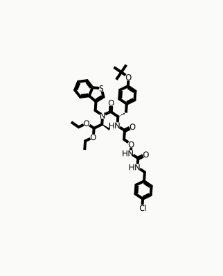 CCOC(OCC)[C@H](C)N(Cc1csc2ccccc12)C(=O)[C@H](Cc1ccc(OC(C)(C)C)cc1)NC(=O)CONC(=O)NCc1ccc(Cl)cc1